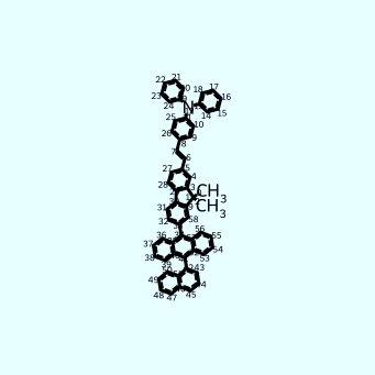 CC1(C)c2cc(/C=C/c3ccc(N(c4ccccc4)c4ccccc4)cc3)ccc2-c2ccc(-c3c4ccccc4c(-c4cccc5ccccc45)c4ccccc34)cc21